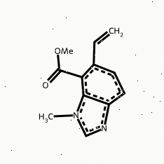 C=Cc1ccc2ncn(C)c2c1C(=O)OC